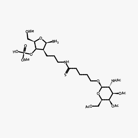 B[C@@H]1O[C@H](COC)C(OP(=O)(O)OC)[C@@H]1CCCNC(=S)CCCCO[C@@H]1O[C@H](COC(C)=O)[C@H](OC(C)=O)[C@H](OC(C)=O)[C@H]1NC(C)=O